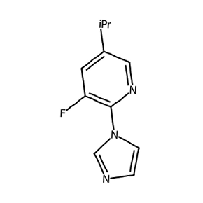 CC(C)c1cnc(-n2ccnc2)c(F)c1